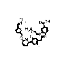 CN=Cc1ccc(COc2cccc(-c3cc(F)c(Cc4nc5ccc(C(=O)O)cc5n4CCOC)cc3F)n2)s1